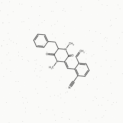 C=Cc1cccc(C#N)c1C=C1C(=O)N(C)C(Cc2ccccc2)C(=O)N1C